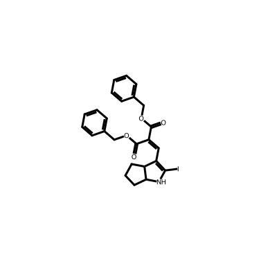 O=C(OCc1ccccc1)C(=CC1=C(I)NC2CCCC12)C(=O)OCc1ccccc1